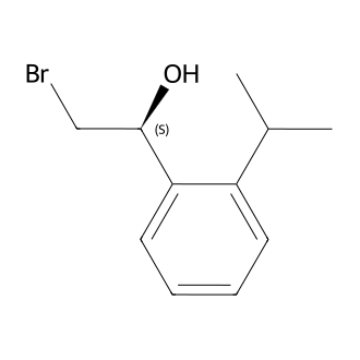 CC(C)c1ccccc1[C@H](O)CBr